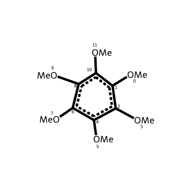 COc1c(OC)c(OC)c(OC)c(OC)c1OC